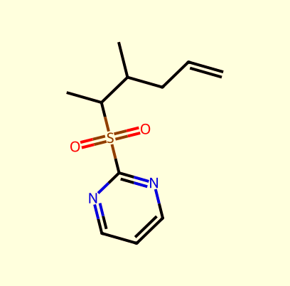 C=CCC(C)C(C)S(=O)(=O)c1ncccn1